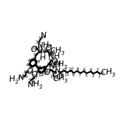 CCCCCCCCCCCCCC(=O)N[C@@H](CC)C(=O)N(C)[C@@H]1C(=O)N[C@@H](C)C(=O)N[C@H](C(=O)NCC#N)Cc2ccc(OCCN)c(c2)-c2cc1ccc2OCCN